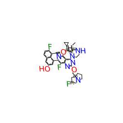 C#Cc1c(F)ccc2cc(O)cc(-c3nc4c5c(nc(OC[C@@]67CCCN6C[C@H](F)C7)nc5c3F)N3CCN[C@@H](CC)[C@H]3[C@H](C3CC3)O4)c12